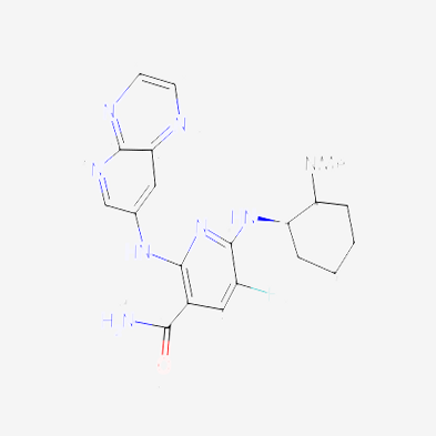 CNC1CCCC[C@H]1Nc1nc(Nc2cnc3nccnc3c2)c(C(N)=O)cc1F